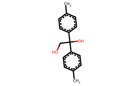 Cc1ccc(C(O)(CO)c2ccc(C)cc2)cc1